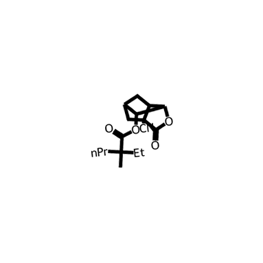 CCCC(C)(CC)C(=O)OC1C2CC3C1OC(=O)C3(C#N)C2